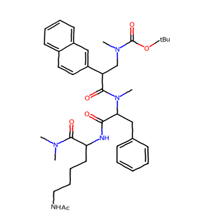 CC(=O)NCCCCC(NC(=O)C(Cc1ccccc1)N(C)C(=O)C(CN(C)C(=O)OC(C)(C)C)c1ccc2ccccc2c1)C(=O)N(C)C